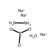 NN.O.[Na+].[Na+].[Na+].[O-]B([O-])[O-]